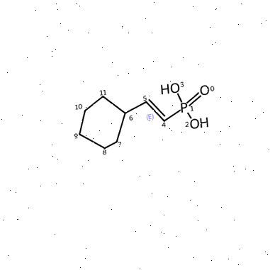 O=P(O)(O)/C=C/C1CCCCC1